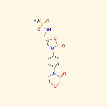 CS(=O)(=O)NC[C@H]1CN(c2ccc(N3CCOCC3=O)cc2)C(=O)O1